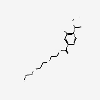 CSSC(C)c1ccc(C(=O)NCCOCCOCCN)cc1C(C)(C)C